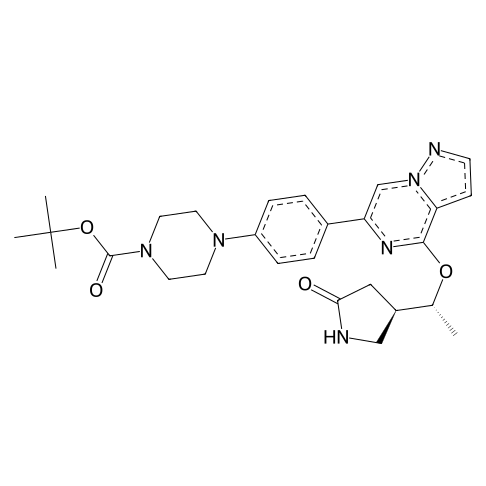 C[C@@H](Oc1nc(-c2ccc(N3CCN(C(=O)OC(C)(C)C)CC3)cc2)cn2nccc12)[C@H]1CNC(=O)C1